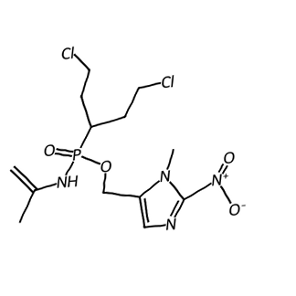 C=C(C)NP(=O)(OCc1cnc([N+](=O)[O-])n1C)C(CCCl)CCCl